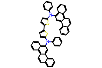 c1ccc(N(c2ccc(-c3ccc(N(c4ccccc4)c4cc5c6ccccc6ccc5c5ccccc45)s3)s2)c2cc3c4ccccc4ccc3c3ccccc23)cc1